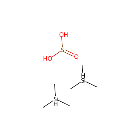 C[SiH](C)C.C[SiH](C)C.O=S(O)O